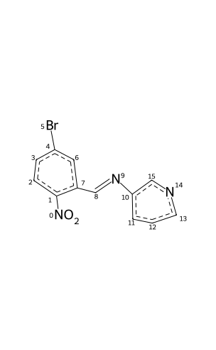 O=[N+]([O-])c1ccc(Br)cc1C=Nc1cccnc1